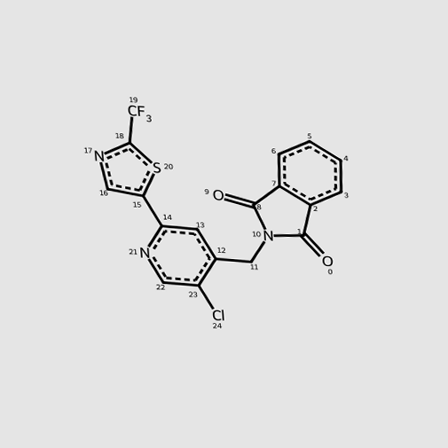 O=C1c2ccccc2C(=O)N1Cc1cc(-c2cnc(C(F)(F)F)s2)ncc1Cl